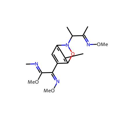 CN=C(OC)C(=NOC)c1cc2cc(C)c1ON2C(C)C(C)=NOC